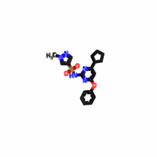 Cn1cc(S(=O)(=O)Nc2nc(Oc3ccccc3)cc(C3CCCC3)n2)cn1